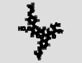 CC(=O)N(C)C(C(=O)N(C)C(Cc1ccc(/N=N/N(C)C)cc1)C(=O)N(C)C(C(=O)N(C)C(Cc1ccc(/N=N/N(C)C)cc1)C(=O)O)C(C)C)C(C)C